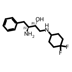 N[C@@H](Cc1ccccc1)[C@H](O)CNC1CCC(F)(F)CC1